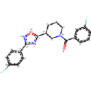 O=C(c1cccc(F)c1)N1CCCC(c2nc(-c3ccc(F)cc3)no2)C1